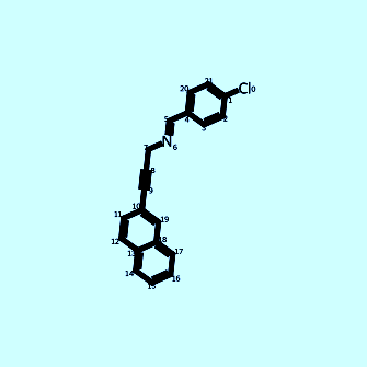 Clc1ccc(/C=N/CC#Cc2ccc3ccccc3c2)cc1